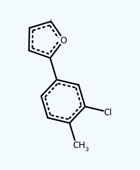 Cc1ccc(-c2cc[c]o2)cc1Cl